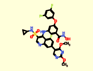 COc1ncc(-c2cc(F)c3c(Nc4cc(Oc5cc(F)cc(F)c5)cc(C(=O)NO)c4)c(S(=O)(=O)NC4CC4)cnc3c2)c(OC)n1